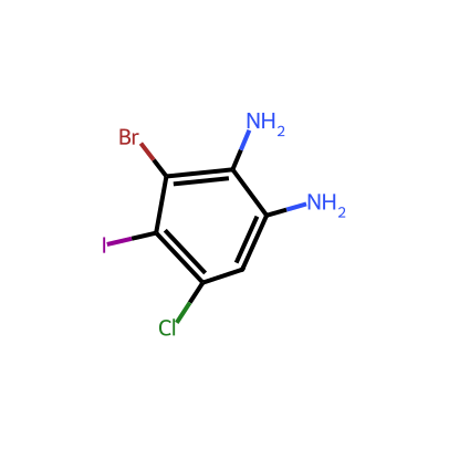 Nc1cc(Cl)c(I)c(Br)c1N